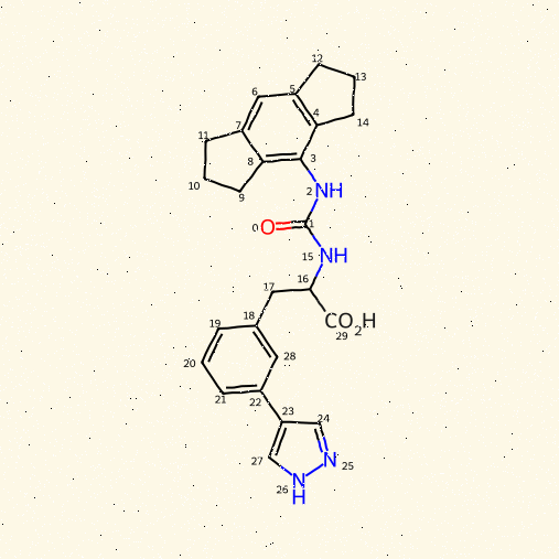 O=C(Nc1c2c(cc3c1CCC3)CCC2)NC(Cc1cccc(-c2cn[nH]c2)c1)C(=O)O